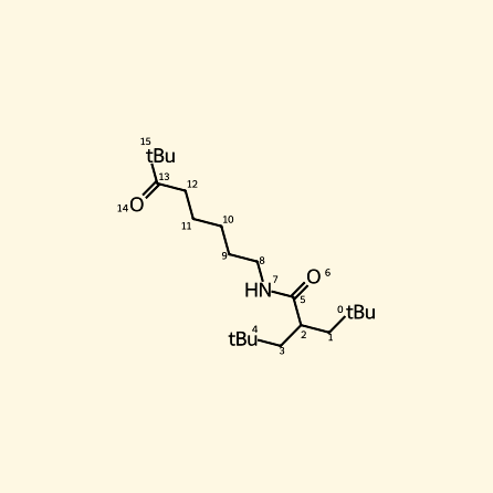 CC(C)(C)CC(CC(C)(C)C)C(=O)NCCCCCC(=O)C(C)(C)C